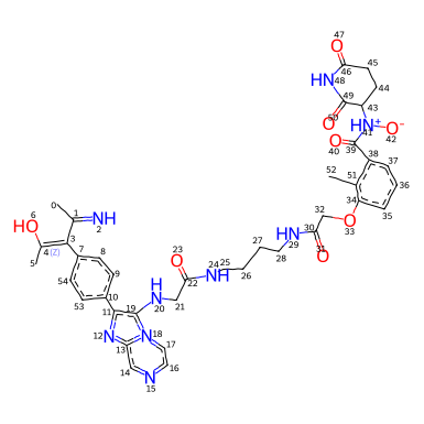 CC(=N)/C(=C(/C)O)c1ccc(-c2nc3cnccn3c2NCC(=O)NCCCCNC(=O)COc2cccc(C(=O)[NH+]([O-])C3CCC(=O)NC3=O)c2C)cc1